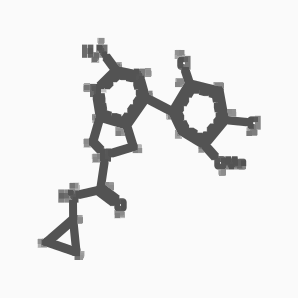 COc1cc(-c2nc(N)nc3c2CN(C(=O)NC2CC2)C3)c(Cl)cc1Cl